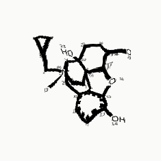 C[N@+]1(CC2CC2)CC[C@]23c4c5ccc(O)c4OC2C(=O)CCC3(O)C1C5